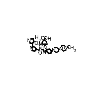 COc1ccncc1-c1cc(C(=O)Nc2nc3ccc(N4CCC(N5CCN(C)CC5)CC4)cc3n2[C@H]2CC[C@@](C)(O)CC2)ccn1